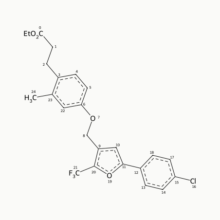 CCOC(=O)CCc1ccc(OCc2cc(-c3ccc(Cl)cc3)oc2C(F)(F)F)cc1C